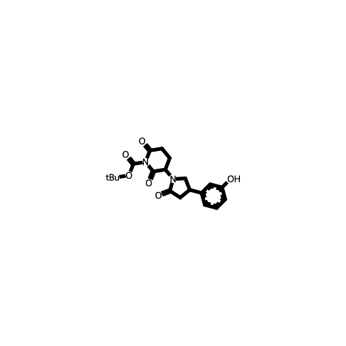 CC(C)(C)OC(=O)N1C(=O)CCC(N2CC(c3cccc(O)c3)CC2=O)C1=O